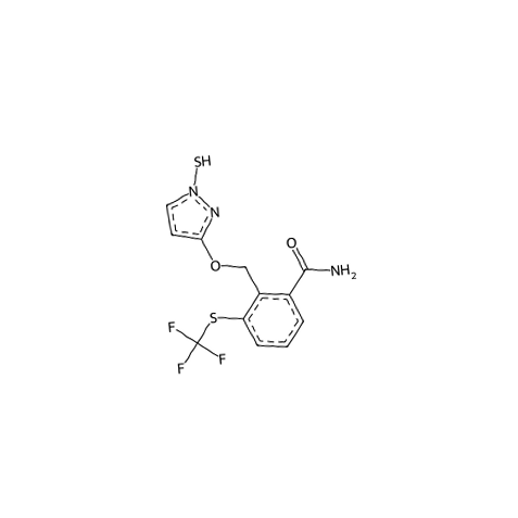 NC(=O)c1cccc(SC(F)(F)F)c1COc1ccn(S)n1